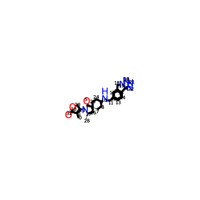 CC1=C(N2C(=O)[C@]3(CC[C@@H](NCc4ccc5c(c4)Cn4nnnc4-5)CC3)C[C@@H]2C)COC1=O